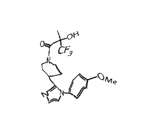 COc1ccc(-n2ccnc2C2CCN(C(=O)C(C)(O)C(F)(F)F)CC2)cc1